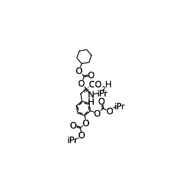 CC(C)N[C@@](Cc1ccc(OC(=O)OC(C)C)c(OC(=O)OC(C)C)c1)(OC(=O)OC1CCCCC1)C(=O)O